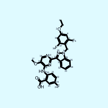 CCOc1cc(F)c(Cn2nc(-c3ncc(OC)c(Nc4ccc(F)cc4C(=O)O)n3)c3ccccc32)c(F)c1